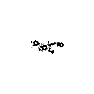 O=C(/C=C/CN1CC2(CCCC2)C1)Nc1cc2c(Nc3ccc(F)c(Cl)c3)ncnc2cc1OCC1CC1